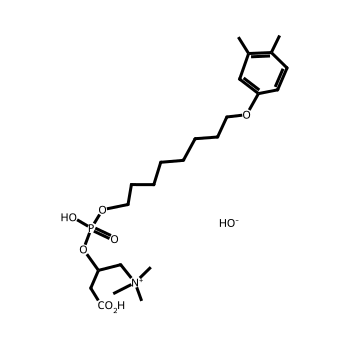 Cc1ccc(OCCCCCCCCOP(=O)(O)OC(CC(=O)O)C[N+](C)(C)C)cc1C.[OH-]